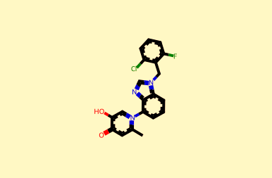 Cc1cc(=O)c(O)cn1-c1cccc2c1ncn2Cc1c(F)cccc1Cl